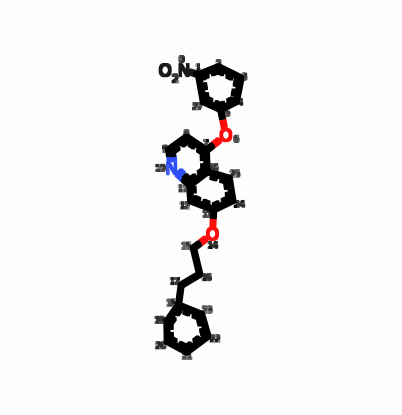 O=[N+]([O-])c1cccc(Oc2ccnc3cc(OCCCc4ccccc4)ccc23)c1